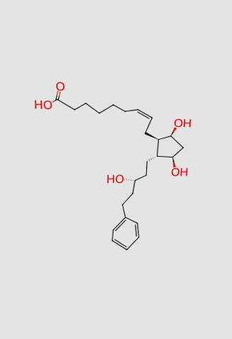 O=C(O)CCCCC/C=C\C[C@@H]1[C@@H](CC[C@@H](O)CCc2ccccc2)[C@H](O)C[C@@H]1O